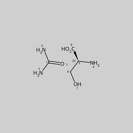 NC(N)=O.N[C@@H](CO)C(=O)O